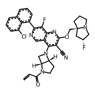 C=CC(=O)N1CC[C@@H]2[C@H]1CN2c1c(C#N)c(OC[C@@]23CCCN2C[C@H](F)C3)nc2c(F)c(-c3cccc4cccc(Cl)c34)ncc12